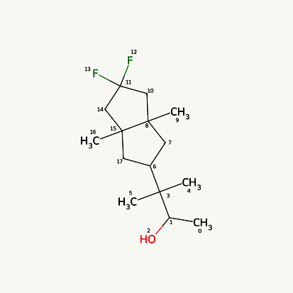 CC(O)C(C)(C)C1CC2(C)CC(F)(F)CC2(C)C1